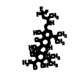 CC(CC(F)(F)F)NCc1cc(N(C)C)c2c(c1O)C(=O)C1=C(O)[C@]3(O)C(=O)C(C(N)=O)C(O)[C@@H](N(C)C)[C@@H]3C[C@@H]1C2